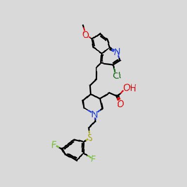 COc1ccc2ncc(Cl)c(CCCC3CCN(CCSc4cc(F)ccc4F)CC3CC(=O)O)c2c1